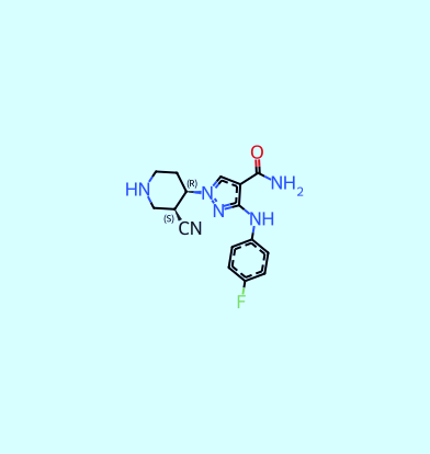 N#C[C@H]1CNCC[C@H]1n1cc(C(N)=O)c(Nc2ccc(F)cc2)n1